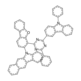 c1ccc(-c2nc(-c3ccc4c(c3)c3ccccc3n4-c3ccccc3)nc(-c3c(-n4c5ccccc5c5cc6ccccc6cc54)ccc4c3oc3ccccc34)n2)cc1